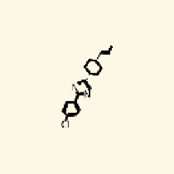 C/C=C/[C@H]1CC[C@H](c2cnc(-c3ccc(Cl)cc3)nc2)CC1